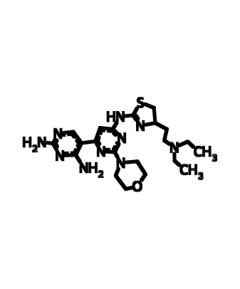 CCN(CC)CCC1CSC(Nc2cc(-c3cnc(N)nc3N)nc(N3CCOCC3)n2)=N1